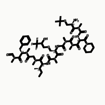 CC[C@H](C)[C@H](NC(=O)N(C)C(=O)[C@H](COCC(O)C(F)(F)F)NC(=O)N(C)C(=O)N(C)C(=O)[C@H](NC(=O)N(C)C(=O)[C@@H](N)COC(C)(C)C)C(=O)N1CCCCC1)C(=O)N(C)CC(=O)N(C)[C@@H](Cc1ccccc1)C(=O)N(C)C=O